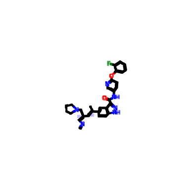 C=N/C=C(\C=C(/C)c1ccc2[nH]nc(C(=O)Nc3ccc(Oc4ccccc4F)nc3)c2c1)CN1CCCC1